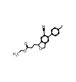 CCOC(=O)CCC1OCc2cc(-c3ccc(F)cc3)c(C#N)cc21